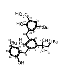 CC(C)(C)CC(C)(C)c1cc(Cc2cc(C(C)(C)C)ccc2O)c(O)c(Cc2cc(C(C)(C)C)cc(C(=O)O)c2O)c1